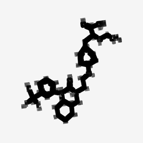 CCOC(Cc1ccc(OCCN(CC2CCCCC2)C(=O)Nc2cccc(C(F)(F)F)c2)cc1)C(=O)O